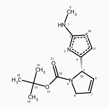 CNc1nc([C@@H]2C=CCN2C(=O)OC(C)(C)C)cs1